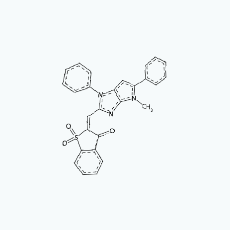 Cn1c(-c2ccccc2)cc2c1nc(/C=C1\C(=O)c3ccccc3S1(=O)=O)n2-c1ccccc1